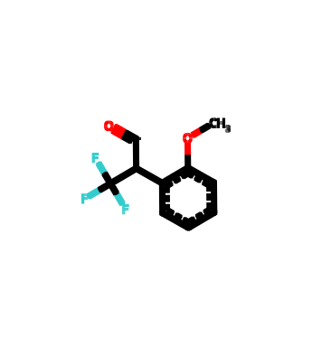 COc1ccccc1C([C]=O)C(F)(F)F